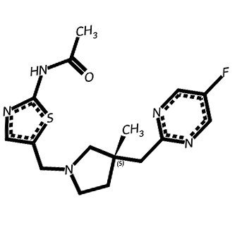 CC(=O)Nc1ncc(CN2CC[C@@](C)(Cc3ncc(F)cn3)C2)s1